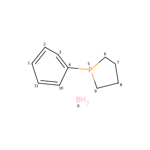 B.c1ccc(P2CCCC2)cc1